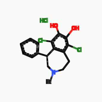 CCN1CCc2c(Cl)c(O)c(O)c(Cl)c2C(c2ccccc2)C1.Cl